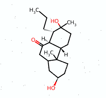 CCC[C@H]1[C@@H]2C(=O)CC3C[C@H](O)CCC3(C)[C@H]2CCC1(C)O